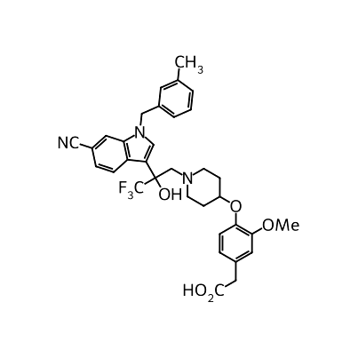 COc1cc(CC(=O)O)ccc1OC1CCN(CC(O)(c2cn(Cc3cccc(C)c3)c3cc(C#N)ccc23)C(F)(F)F)CC1